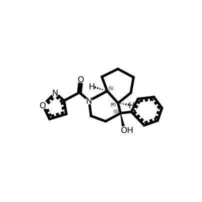 O=C(c1ccon1)N1CC[C@@](O)(c2ccccc2)[C@@H]2CCCC[C@@H]21